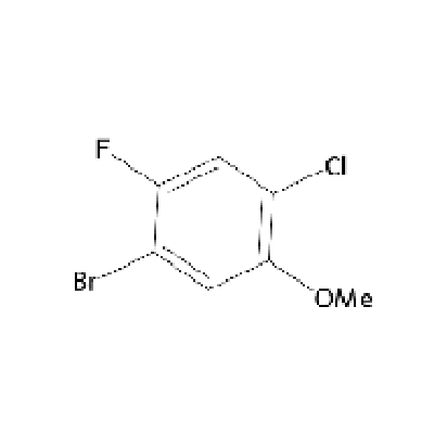 COc1cc(Br)c(F)cc1Cl